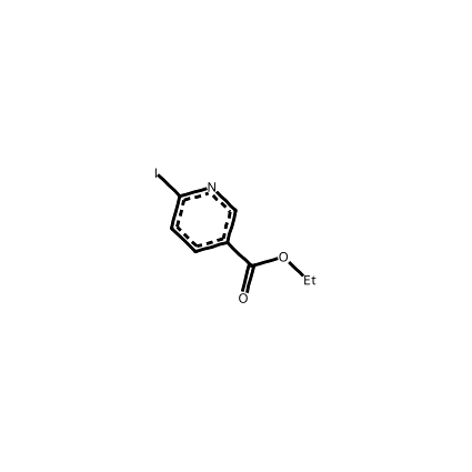 CCOC(=O)c1ccc(I)nc1